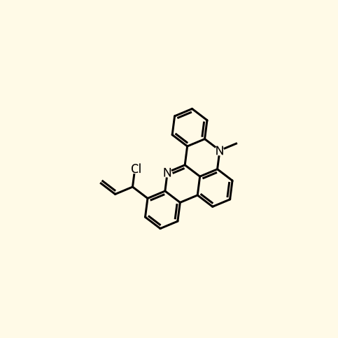 C=CC(Cl)c1cccc2c1nc1c3c(cccc32)N(C)c2ccccc2-1